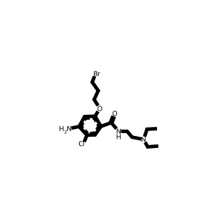 CCN(CC)CCNC(=O)c1cc(Cl)c(N)cc1OCCCBr